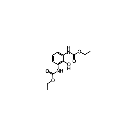 CCOC(=O)Nc1cccc(NC(=O)OCC)c1O